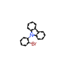 Brc1ccccc1-n1c2ccccc2c2ccccc21